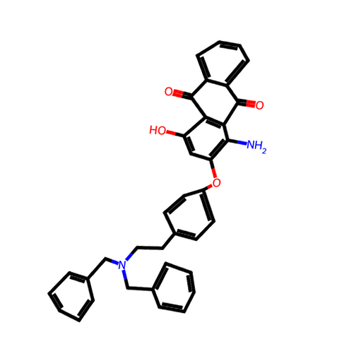 Nc1c(Oc2ccc(CCN(Cc3ccccc3)Cc3ccccc3)cc2)cc(O)c2c1C(=O)c1ccccc1C2=O